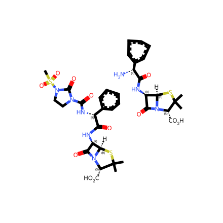 CC1(C)S[C@@H]2[C@H](NC(=O)[C@H](N)c3ccccc3)C(=O)N2[C@H]1C(=O)O.CC1(C)S[C@@H]2[C@H](NC(=O)[C@H](NC(=O)N3CCN(S(C)(=O)=O)C3=O)c3ccccc3)C(=O)N2[C@H]1C(=O)O